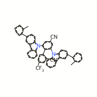 Cc1ccccc1-c1ccc2c(c1)c1ccccc1n2-c1cc(C#N)cc(-n2c3ccccc3c3cc(-c4ccccc4C)ccc32)c1-c1ccc(C(F)(F)F)cc1C#N